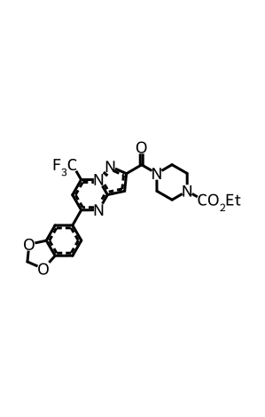 CCOC(=O)N1CCN(C(=O)c2cc3nc(-c4ccc5c(c4)OCO5)cc(C(F)(F)F)n3n2)CC1